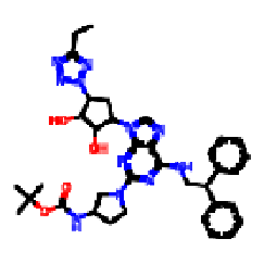 CCc1nnn(C2CC(n3cnc4c(NCC(c5ccccc5)c5ccccc5)nc(N5CCC(NC(=O)OC(C)(C)C)C5)nc43)C(O)C2O)n1